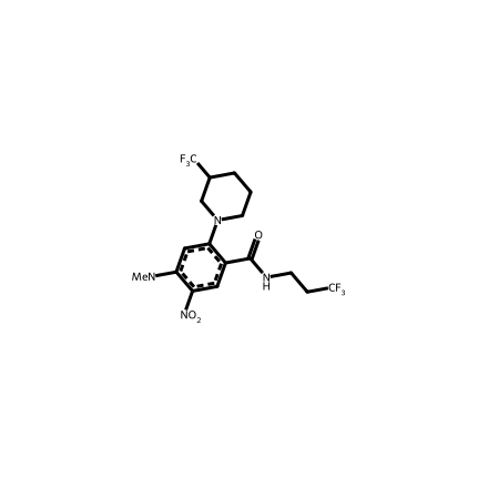 CNc1cc(N2CCCC(C(F)(F)F)C2)c(C(=O)NCCC(F)(F)F)cc1[N+](=O)[O-]